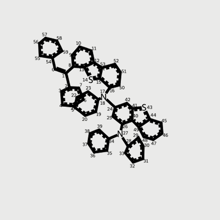 C(=C(\c1ccccc1)c1cccc2c1sc1c(N(c3ccccc3)c3cc(N(c4ccccc4)c4ccccc4)c4c(c3)sc3ccccc34)cccc12)/c1ccccc1